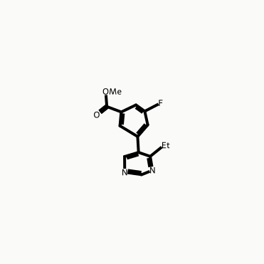 CCc1ncncc1-c1cc(F)cc(C(=O)OC)c1